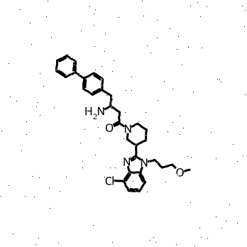 COCCCn1c(C2CCCN(C(=O)CC(N)Cc3ccc(-c4ccccc4)cc3)C2)nc2c(Cl)cccc21